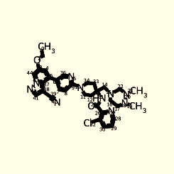 CCOc1cc(-c2ccc(N3CCC(CN4CCN(C)N(C)C4)(NC(=O)c4ncccc4Cl)CC3)nc2)c2c(C#N)cnn2c1